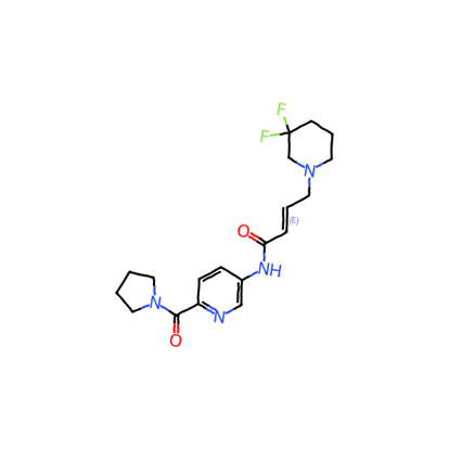 O=C(/C=C/CN1CCCC(F)(F)C1)Nc1ccc(C(=O)N2CCCC2)nc1